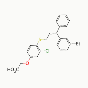 CCc1cccc(/C(=C\CSc2ccc(OCC(=O)O)cc2Cl)c2ccccc2)c1